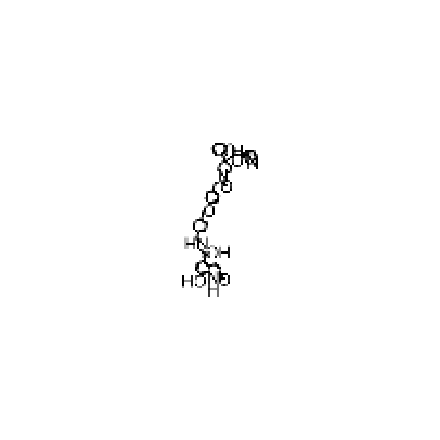 O=C(Cc1ccc(OCc2ccc(CNC[C@H](O)c3ccc(O)c4[nH]c(=O)ccc34)cc2)cc1)N1CCC(C(=O)O[C@H]2CN3CCC2CC3)(c2ccccc2)CC1